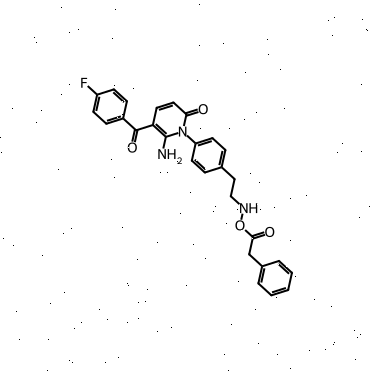 Nc1c(C(=O)c2ccc(F)cc2)ccc(=O)n1-c1ccc(CCNOC(=O)Cc2ccccc2)cc1